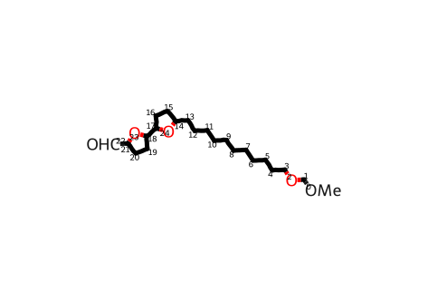 COCOCCCCCCCCCCCC1CCC(C2CCC(C=O)O2)O1